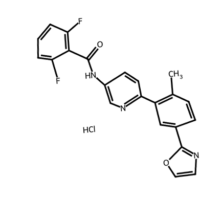 Cc1ccc(-c2ncco2)cc1-c1ccc(NC(=O)c2c(F)cccc2F)cn1.Cl